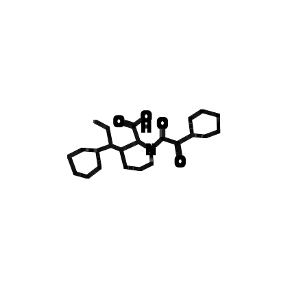 CCC(C1CCCCC1)C1CCCN(C(=O)C(=O)C2CCCCC2)C1C(=O)O